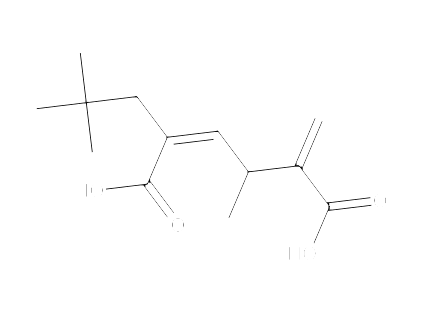 C=C(C(=O)O)C(C)C=C(CC(C)(C)C)C(=O)O